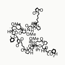 CC[C@H](C)[C@@H]([C@@H](CC(=O)N1CCC[C@H]1[C@H](OC)[C@@H](C)C(=O)N[C@@H](Cc1ccccc1)C(=O)O)OC)N(C)C(=O)[C@@H](NC(=O)[C@]1(C)CCCN1C(=O)CCCN1C(=O)C=C(COC(=O)[C@H](Cc2ccccc2)NC(=O)[C@H](C)[C@@H](OC)[C@@H]2CCCC(CC(=O)C[C@@H](OC)[C@H]([C@@H](C)CC)N(C)C(=O)[C@@H](NC(=O)[C@@]3(C)CCCN3C(=O)CCCCCN3C(=O)C=CC3=O)C(C)C)CC2)C1=O)C(C)C